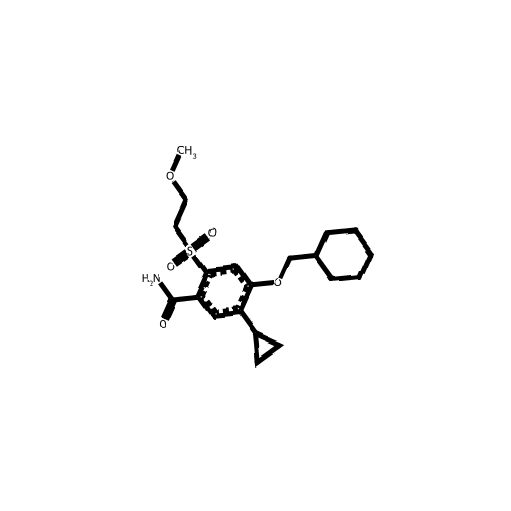 COCCS(=O)(=O)c1cc(OCC2CCCCC2)c(C2CC2)cc1C(N)=O